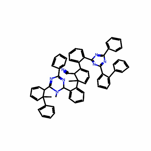 CN1C(C2C=CC=CC2(C)c2ccccc2)=NC(c2ccccc2)=NC1c1ccccc1C1(C)C=CC=C(c2ccccc2-c2nc(-c3ccccc3)nc(-c3ccccc3-c3ccccc3)n2)C1C#N